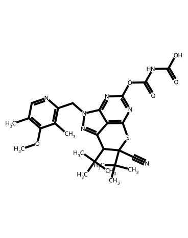 COc1c(C)cnc(Cn2nc3c4c(nc(OC(=O)NC(=O)O)nc42)SC(C#N)(C(C)(C)C)C3C(C)(C)C)c1C